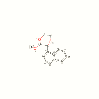 CCOC1OCCO[C]1c1cccc2ccccc12